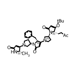 CC(=O)CC[C@H]1C(OC(C)(C)C)=CC(=O)N1[C@H]1CCN(C2=CC(=O)N([C@H]3CCN(C4=CC(=O)N[C@H]4C)C3)[C@H]2Cc2ccccc2)C1